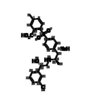 Cc1ccc(S(=O)(=O)c2ccc(C[C@@H](C)NC[C@@H](O)c3cccc(Cl)c3)cc2)c(C(=O)O)c1.[NaH]